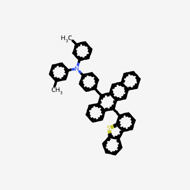 Cc1cccc(N(c2ccc(-c3c4ccccc4c(-c4cccc5c4sc4ccccc45)c4cc5ccccc5cc34)cc2)c2cccc(C)c2)c1